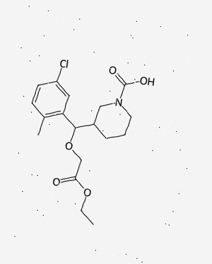 CCOC(=O)COC(c1cc(Cl)ccc1C)C1CCCN(C(=O)O)C1